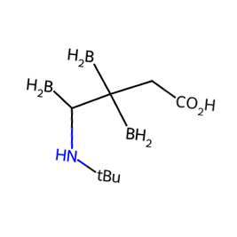 BC(NC(C)(C)C)C(B)(B)CC(=O)O